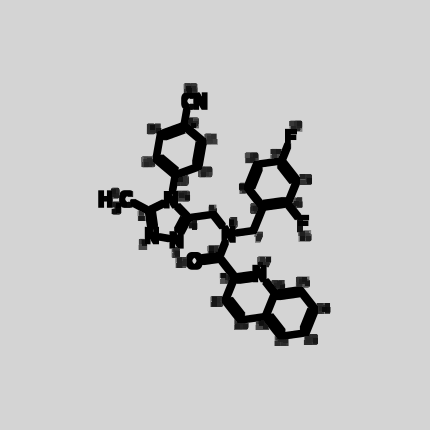 Cc1nnc(CN(Cc2ccc(F)cc2F)C(=O)c2ccc3ccccc3n2)n1-c1ccc(C#N)cc1